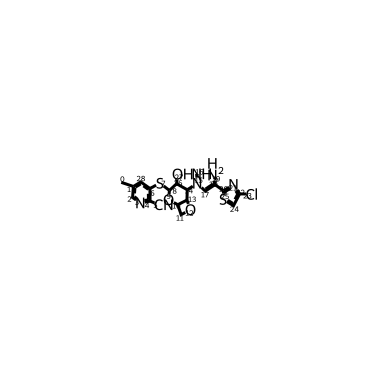 Cc1cnc(C#N)c(SC2OC3COC3C(N(N)/C=C(\N)c3nc(Cl)cs3)C2O)c1